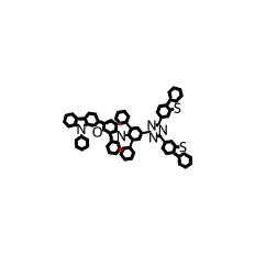 c1ccc(-c2cc(-c3nc(-c4ccc5c(c4)sc4ccccc45)nc(-c4ccc5c(c4)sc4ccccc45)n3)cc(-c3ccccc3)c2-n2c3ccccc3c3c4oc5c(ccc6c7ccccc7n(-c7ccccc7)c65)c4ccc32)cc1